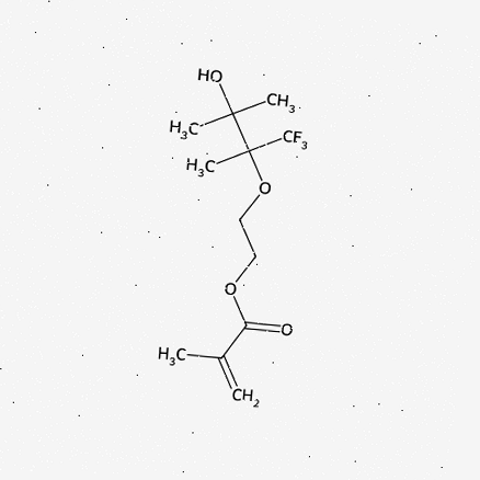 C=C(C)C(=O)OCCOC(C)(C(C)(C)O)C(F)(F)F